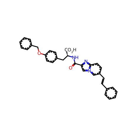 O=C(N[C@@H](Cc1ccc(OCc2ccccc2)cc1)C(=O)O)c1cn2cc(C=Cc3ccccc3)ccc2n1